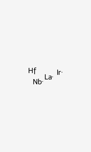 [Hf].[Ir].[La].[Nb]